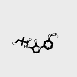 CC(C)(CCl)C(=O)NC1CCN(c2cccc(OC(F)(F)F)c2)C1=O